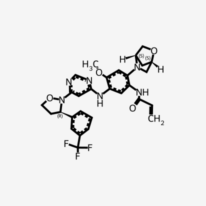 C=CC(=O)Nc1cc(Nc2cc(N3OCC[C@@H]3c3cccc(C(F)(F)F)c3)ncn2)c(OC)cc1N1C[C@@H]2C[C@H]1CO2